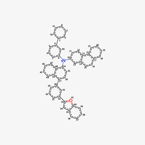 c1ccc(-c2cccc(N(c3ccc4c(ccc5ccccc54)c3)c3ccc(-c4cccc(-c5cc6ccccc6o5)c4)c4ccccc34)c2)cc1